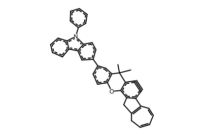 CC1(C)c2c#cc3c(c2Oc2ccc(-c4ccc5c(c4)c4ccccc4n5-c4ccccc4)cc21)CC1=C3C=CC=CC1